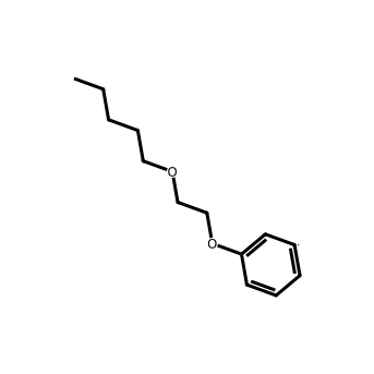 CCCCCOCCOc1c[c]ccc1